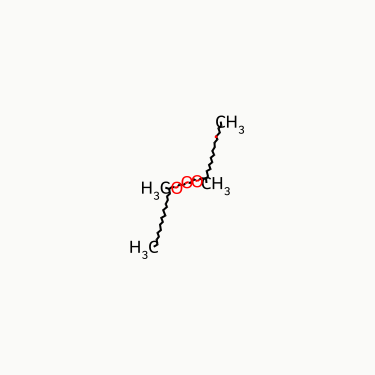 CCCCCCCCCCCCCCCCC(C)COCCOCCOCC(C)CCCCCCCCCCCCCCCC